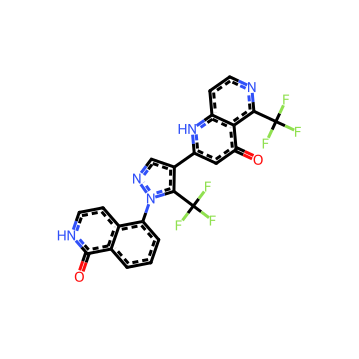 O=c1[nH]ccc2c(-n3ncc(-c4cc(=O)c5c(C(F)(F)F)nccc5[nH]4)c3C(F)(F)F)cccc12